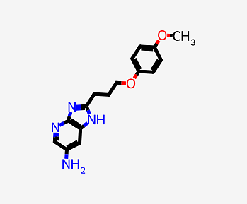 COc1ccc(OCCCc2nc3ncc(N)cc3[nH]2)cc1